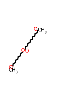 COCCCCCCCCCOC(=O)CCCCCCCCCCC(C)=O